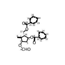 C=C1[C@H](OC=O)C[C@H](OC(=O)c2ccccc2)[C@H]1COC(=O)c1ccccc1